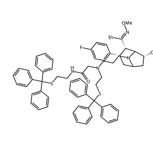 CC/C(=N\OC)[C@@H]1C2[C@H](O)CC(C[C@@H]1c1ccc(F)cc1)N2CCCN(CCSC(c1ccccc1)(c1ccccc1)c1ccccc1)CC(=O)NCCSC(c1ccccc1)(c1ccccc1)c1ccccc1